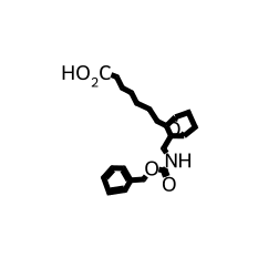 O=C(O)CCCCCCC1C2CCC(O2)C1CNC(=O)OCc1ccccc1